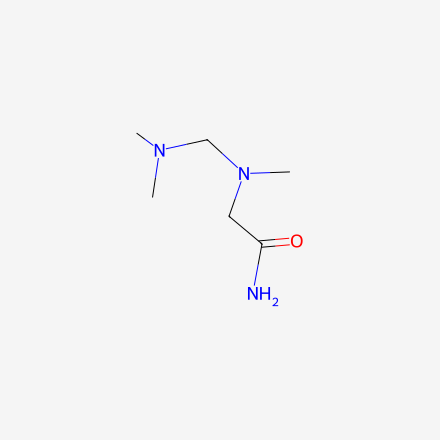 CN(C)CN(C)CC(N)=O